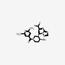 CCCC[C@H]1CCN(C(=O)c2cc(C)nc(C)c2)C[C@H]1c1cc(C(F)F)nc2ncnn12